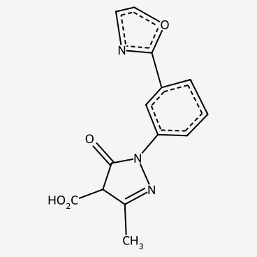 CC1=NN(c2cccc(-c3ncco3)c2)C(=O)C1C(=O)O